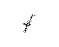 CCCCC1CN(CC(=O)NCCOCCO)C(=O)c2cc(-c3ccc(Cl)cc3)nn21